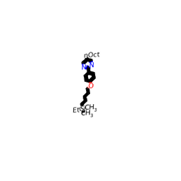 CCCCCCCCc1cnc(-c2ccc(OCCCCC[Si](C)(C)CC)cc2)nc1